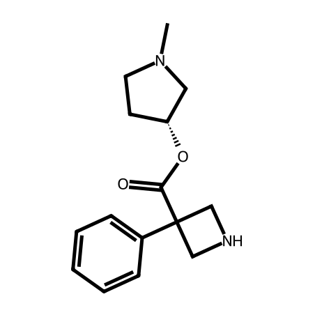 CN1CC[C@@H](OC(=O)C2(c3ccccc3)CNC2)C1